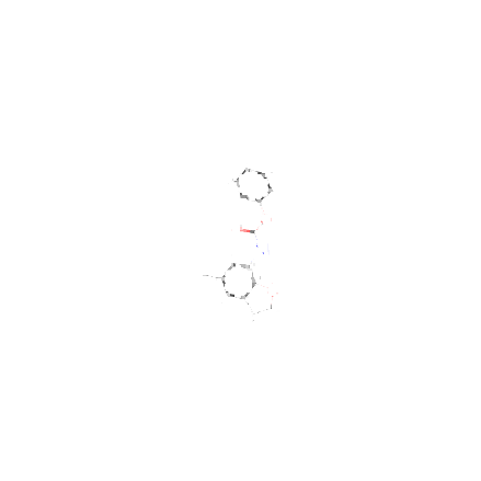 Cc1cc2c(c(NC(=O)Oc3ccccc3)c1)OCC2